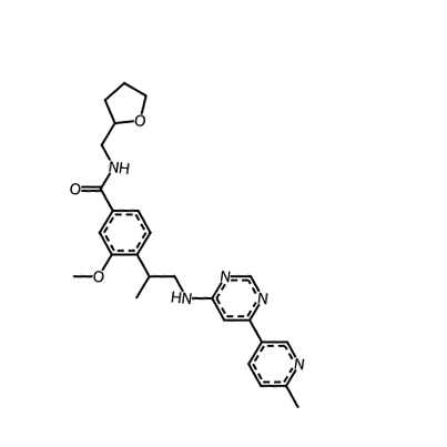 COc1cc(C(=O)NCC2CCCO2)ccc1C(C)CNc1cc(-c2ccc(C)nc2)ncn1